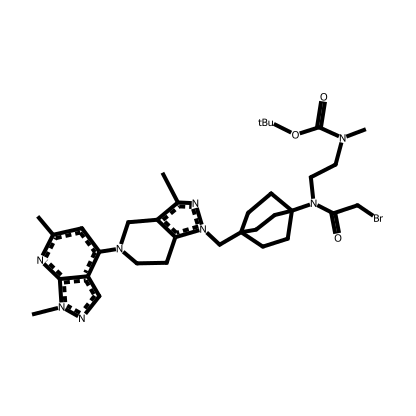 Cc1cc(N2CCc3c(c(C)nn3CC34CCC(N(CCN(C)C(=O)OC(C)(C)C)C(=O)CBr)(CC3)CC4)C2)c2cnn(C)c2n1